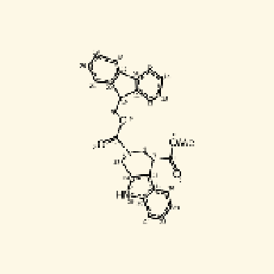 COC(=O)[C@@H]1CN(C(=O)OCC2c3ccccc3-c3ccccc32)Cc2[nH]c3ccccc3c21